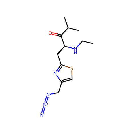 CCN[C@@H](Cc1nc(CN=[N+]=[N-])cs1)C(=O)C(C)C